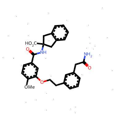 COc1ccc(C(=O)NC2(C(=O)O)Cc3ccccc3C2)cc1OCCc1cccc(CC(N)=O)c1